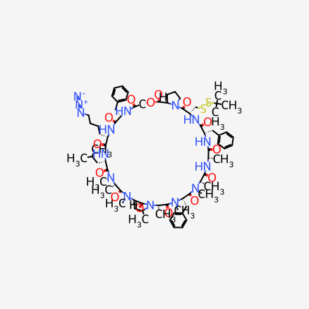 CC(C)C[C@@H]1NC(=O)[C@H](CCCCN=[N+]=[N-])NC(=O)[C@H](Cc2ccccc2)NC(=O)COC(=O)[C@@H]2CCCN2C(=O)[C@H](CSSC(C)(C)C)NC(=O)[C@H](Cc2ccccc2)NC(=O)[C@H](C)NC(=O)[C@H](C)N(C)C(=O)[C@H](Cc2ccccc2)N(C)C(=O)[C@H](C)N2C(=O)[C@H](CC2C)N(C)C(=O)[C@H](C)N(C)C1=O